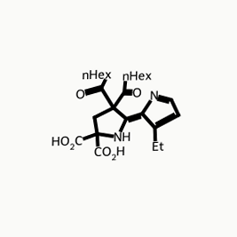 CCCCCCC(=O)C1(C(=O)CCCCCC)CC(C(=O)O)(C(=O)O)NC1=C1N=CC=C1CC